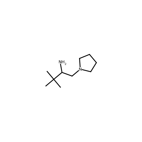 CC(C)(C)C(N)CN1CCCC1